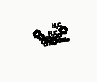 COc1ccc(C(=O)NC2(C(=O)O)Cc3ccccc3C2)cc1C(C)Oc1cccc(C)c1